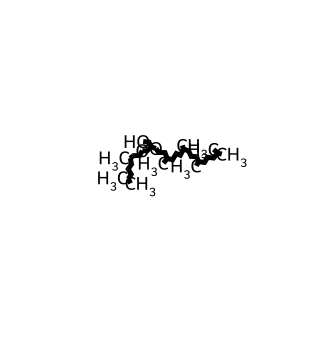 CC(C)CCCC(C)CCCC(C)CCCC(C)CCOC(CO)COCCC(C)CCCC(C)C